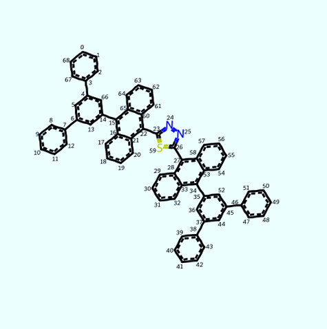 c1ccc(-c2cc(-c3ccccc3)cc(-c3c4ccccc4c(-c4nnc(-c5c6ccccc6c(-c6cc(-c7ccccc7)cc(-c7ccccc7)c6)c6ccccc56)s4)c4ccccc34)c2)cc1